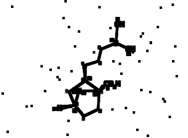 O=C(O)[C@]12CC[C@H](C[C@H]1CCCB(O)O)N2